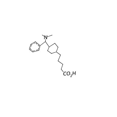 CN(C)C(c1ccccc1)C1CCC(CCCCC(=O)O)CC1